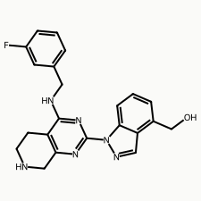 OCc1cccc2c1cnn2-c1nc2c(c(NCc3cccc(F)c3)n1)CCNC2